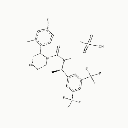 CS(=O)(=O)O.Cc1cc(F)ccc1C1CNCCN1C(=O)N(C)[C@H](C)c1cc(C(F)(F)F)cc(C(F)(F)F)c1